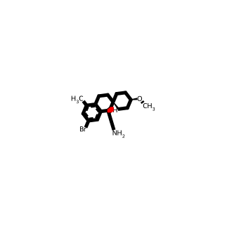 CO[C@H]1CC[C@@]2(CCc3c(C)cc(Br)cc3C23N=CC(N)N3)CC1